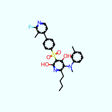 CCCCc1nc(O)c(S(=O)(=O)c2ccc(-c3ccnc(F)c3C)cc2)c(O)c1N(C)c1cccc(C)c1